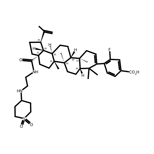 C=C(C)[C@@H]1CC[C@]2(C(=O)NCCNC3CCS(=O)(=O)CC3)CC[C@]3(C)[C@H](CC[C@@H]4[C@@]5(C)CC=C(c6ccc(C(=O)O)cc6F)C(C)(C)[C@@H]5CC[C@]43C)[C@@H]12